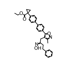 CCOC(=O)C1(c2ccc(-c3ccc(-c4onc(C)c4C/C(CCc4ccccc4)=N/O)cc3)cc2)CC1